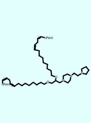 CCCCC/C=C\C/C=C\CCCCCCCCOCC(CN1CCN(CCN2CCCC2)CC1)OCCCCCCCC/C=C\C/C=C\CCCCC